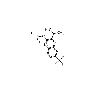 CC(C)Oc1nc2ccc(C(F)(F)F)cc2nc1C(C)C